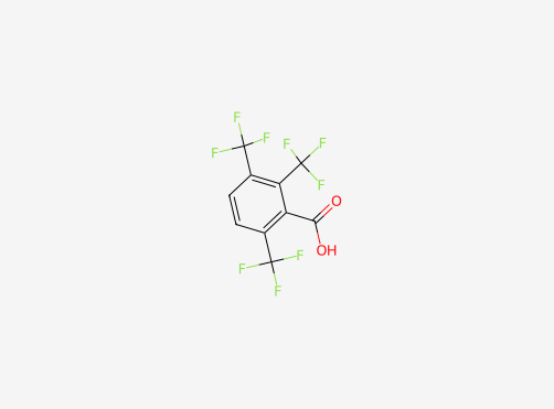 O=C(O)c1c(C(F)(F)F)ccc(C(F)(F)F)c1C(F)(F)F